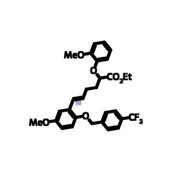 CCOC(=O)C(CC/C=C/c1cc(OC)ccc1OCc1ccc(C(F)(F)F)cc1)Oc1ccccc1OC